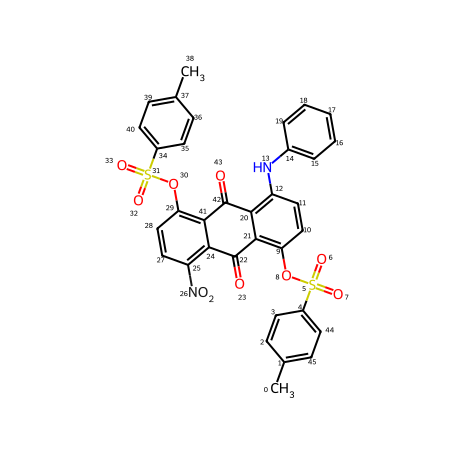 Cc1ccc(S(=O)(=O)Oc2ccc(Nc3ccccc3)c3c2C(=O)c2c([N+](=O)[O-])ccc(OS(=O)(=O)c4ccc(C)cc4)c2C3=O)cc1